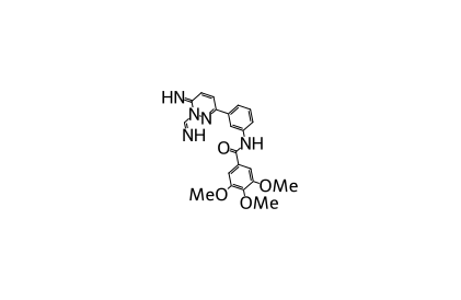 COc1cc(C(=O)Nc2cccc(-c3ccc(=N)n(C=N)n3)c2)cc(OC)c1OC